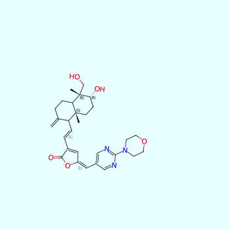 C=C1CCC2[C@](C)(CC[C@@H](O)[C@@]2(C)CO)C1/C=C/C1=CC(=C\c2cnc(N3CCOCC3)nc2)/OC1=O